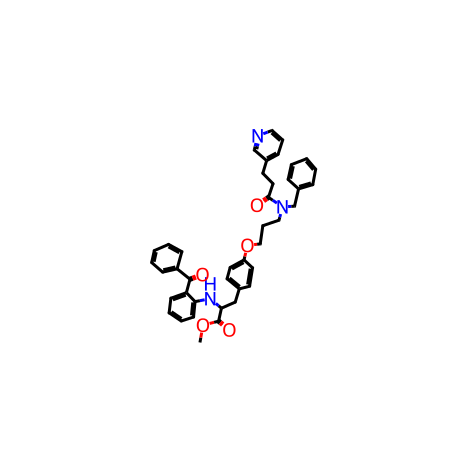 COC(=O)C(Cc1ccc(OCCCN(Cc2ccccc2)C(=O)CCc2cccnc2)cc1)Nc1ccccc1C(=O)c1ccccc1